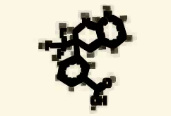 O=C(O)c1cccc(C2(C(F)(F)F)C=c3cccnc3=NC2)c1